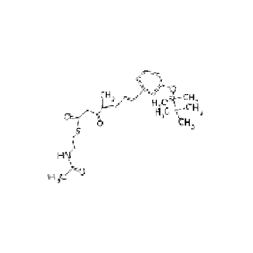 CC(=O)NCCSC(=O)CC(=O)/C(C)=C/C=C/c1cccc(O[Si](C)(C)C(C)(C)C)c1